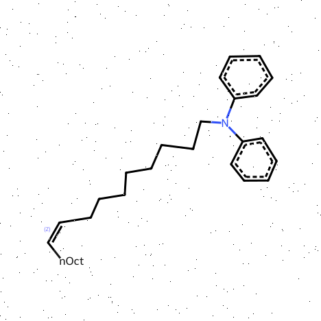 CCCCCCCC/C=C\CCCCCCCCN(c1ccccc1)c1ccccc1